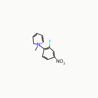 C[N+]1(c2ccc([N+](=O)[O-])cc2F)C=CC=CC1